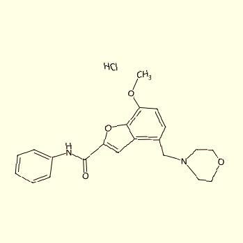 COc1ccc(CN2CCOCC2)c2cc(C(=O)Nc3ccccc3)oc12.Cl